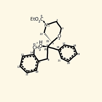 CCOC(=O)N1CCO[C@H]([C@@](O)(Cc2ccccc2C)c2ccccc2)C1